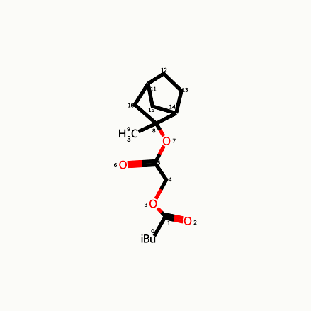 CCC(C)C(=O)OCC(=O)OC1(C)CC2CCC1C2